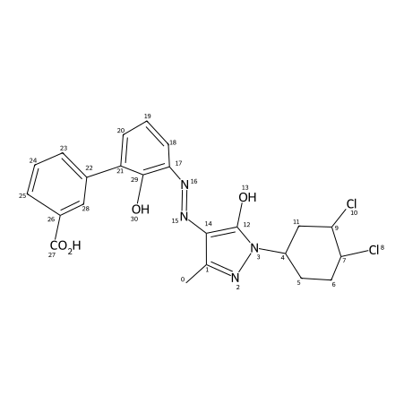 Cc1nn(C2CCC(Cl)C(Cl)C2)c(O)c1N=Nc1cccc(-c2cccc(C(=O)O)c2)c1O